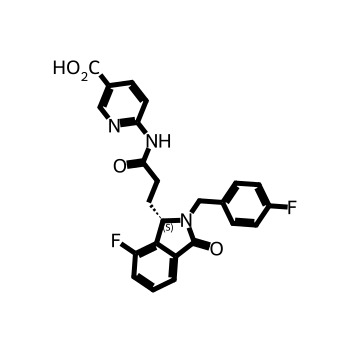 O=C(CC[C@H]1c2c(F)cccc2C(=O)N1Cc1ccc(F)cc1)Nc1ccc(C(=O)O)cn1